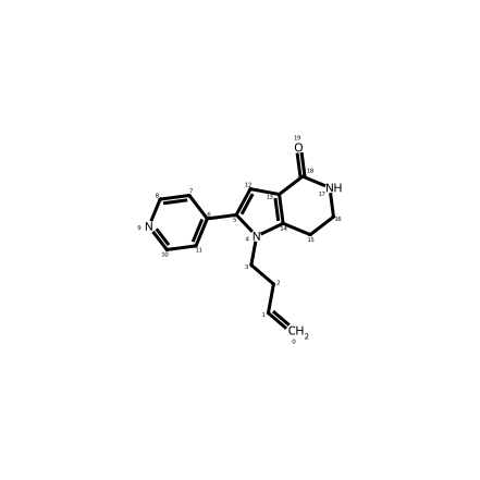 C=CCCn1c(-c2ccncc2)cc2c1CCNC2=O